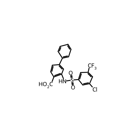 O=C(O)c1ccc(-c2ccccc2)cc1NS(=O)(=O)c1cc(Cl)cc(C(F)(F)F)c1